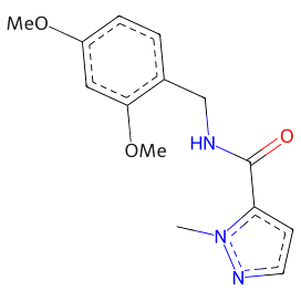 COc1ccc(CNC(=O)c2ccnn2C)c(OC)c1